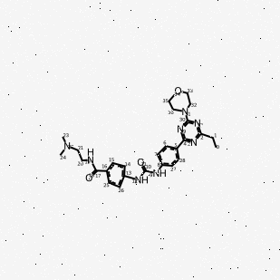 CCc1nc(-c2ccc(NC(=O)Nc3ccc(C(=O)NCCN(C)C)cc3)cc2)nc(N2CCOCC2)n1